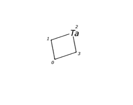 C1[CH2][Ta][CH2]1